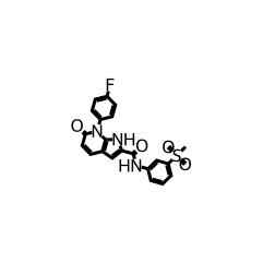 CS(=O)(=O)c1cccc(NC(=O)c2cc3ccc(=O)n(-c4ccc(F)cc4)c3[nH]2)c1